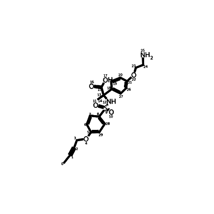 CC#CCOc1ccc(S(=O)(=O)NC(C)(C(=O)O)c2ccc(OCCN)cc2)cc1